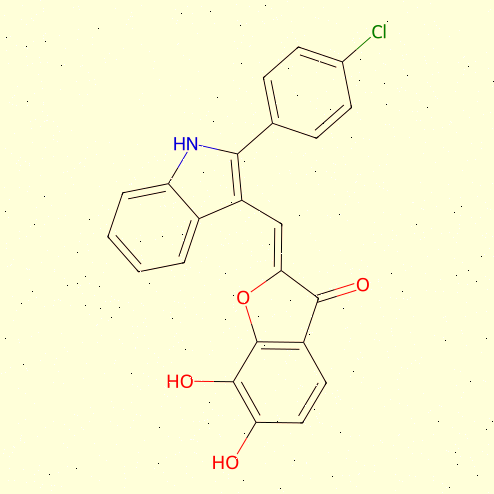 O=C1C(=Cc2c(-c3ccc(Cl)cc3)[nH]c3ccccc23)Oc2c1ccc(O)c2O